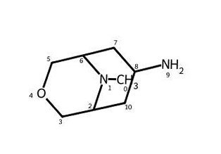 CN1C2COCC1CC(N)C2